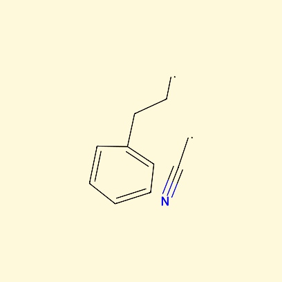 [CH2]C#N.[CH2]CCc1ccccc1